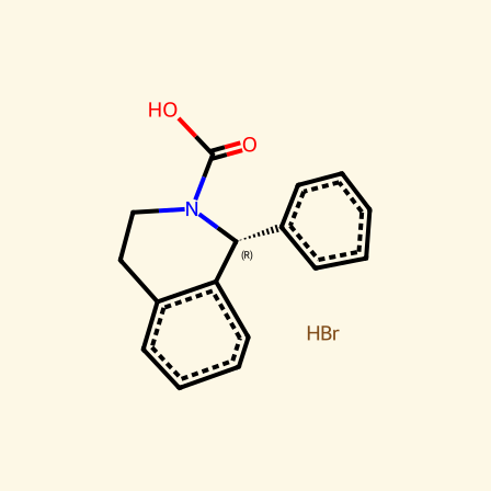 Br.O=C(O)N1CCc2ccccc2[C@H]1c1ccccc1